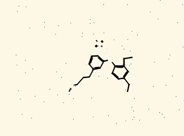 CCc1ccc(Sc2cccc(CCCNC)c2)c(CC)c1.O=S(=O)(O)O